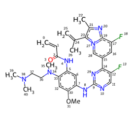 C=CC(=O)Nc1cc(Nc2ncc(F)c(-c3cc(F)c4nc(C)c(C(=C)C)n4c3)n2)c(OC)cc1N(C)CCN(C)C